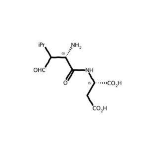 CC(C)C(C=O)[C@H](N)C(=O)N[C@@H](CC(=O)O)C(=O)O